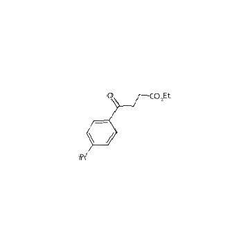 CCOC(=O)CCC(=O)c1ccc(C(C)C)cc1